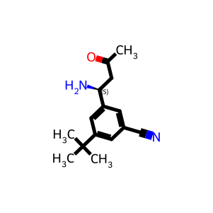 CC(=O)C[C@H](N)c1cc(C#N)cc(C(C)(C)C)c1